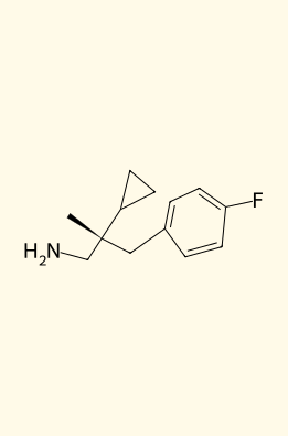 C[C@](CN)(Cc1ccc(F)cc1)C1CC1